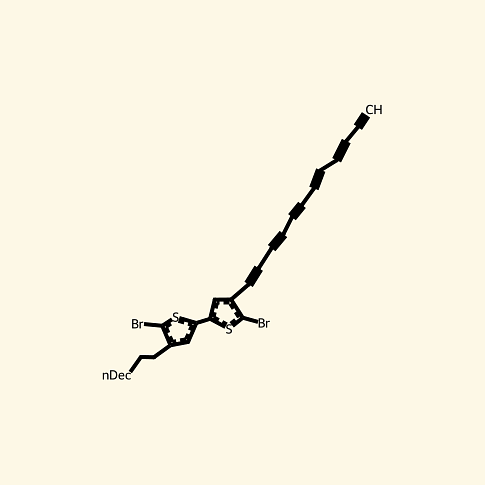 C#CC#CC#CC#CC#CC#Cc1cc(-c2cc(CCCCCCCCCCCC)c(Br)s2)sc1Br